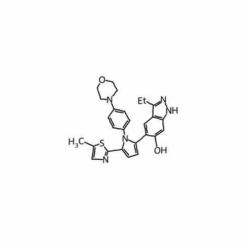 CCc1n[nH]c2cc(O)c(-c3ccc(-c4ncc(C)s4)n3-c3ccc(N4CCOCC4)cc3)cc12